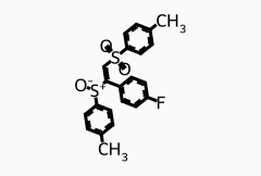 Cc1ccc([S+]([O-])/C(=C/S(=O)(=O)c2ccc(C)cc2)c2ccc(F)cc2)cc1